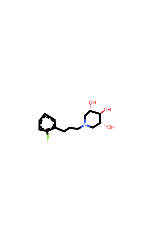 O[C@H]1[C@H](O)CN(CCCc2ccccc2F)C[C@@H]1O